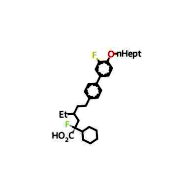 CCCCCCCOc1ccc(-c2ccc(CCC(CC)C[C@@](F)(C(=O)O)C3CCCCC3)cc2)cc1F